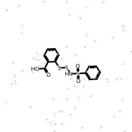 O=C(O)c1ccccc1SSNS(=O)(=O)c1ccccc1